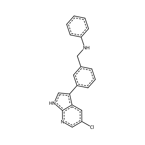 Clc1cnc2[nH]cc(-c3cccc(CNc4ccccc4)c3)c2c1